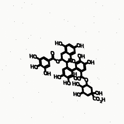 O=C(OC1Cc2c(O)cc(O)cc2OC1c1cc(O)c(O)c(O)c1-c1c(C(=O)OC2CC(O)(C(=O)O)CC(O)C2O)cc(O)c(O)c1O)c1cc(O)c(O)c(O)c1